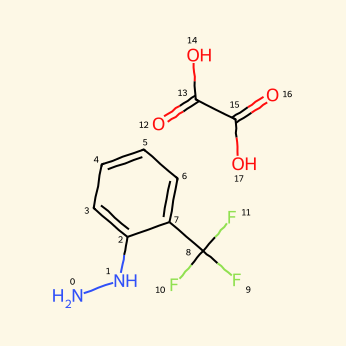 NNc1ccccc1C(F)(F)F.O=C(O)C(=O)O